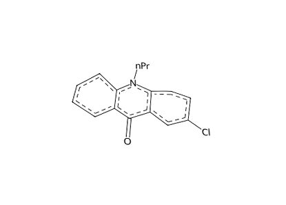 CCCn1c2ccccc2c(=O)c2cc(Cl)ccc21